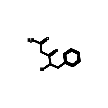 CCN(Cc1ccccc1)C(=O)CC(N)=O